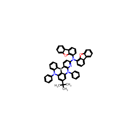 CC(C)(C)c1cc2c3c(c1)N(c1ccccc1)c1nc(N(c4cccc5c4oc4ccccc45)c4cccc5c4oc4ccccc45)ccc1B3c1ccccc1N2c1ccccc1